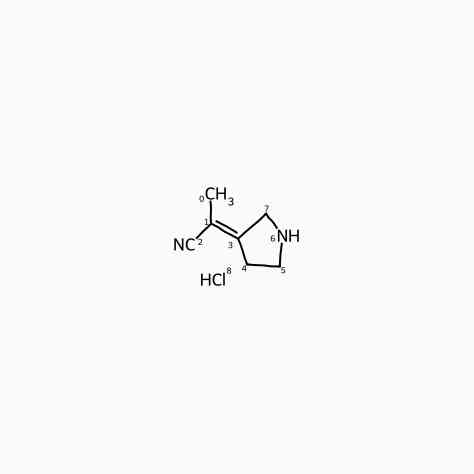 C/C(C#N)=C1/CCNC1.Cl